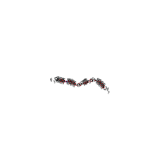 CC(F)(F)C(F)(F)C(F)(F)C(F)(F)C(F)(F)C(F)(F)CCOc1ccc(OCC(F)(F)C(F)(F)C(F)(F)C(F)(F)COc2ccc(OCCC(F)(F)C(F)(F)C(F)(F)C(F)(F)C(F)(F)C(F)(F)/C=C/C(F)(F)C(F)(F)C(F)(F)C(F)(F)C(F)(F)C(F)(F)F)cc2)cc1